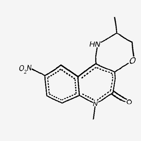 CC1COc2c(c3cc([N+](=O)[O-])ccc3n(C)c2=O)N1